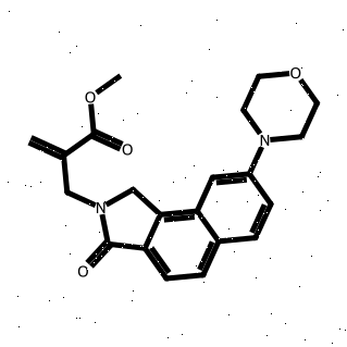 C=C(CN1Cc2c(ccc3ccc(N4CCOCC4)cc23)C1=O)C(=O)OC